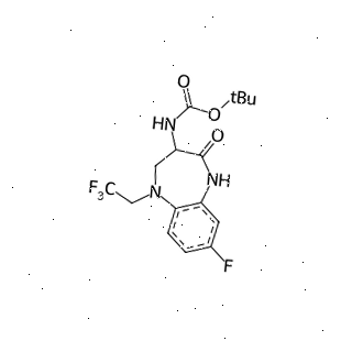 CC(C)(C)OC(=O)NC1CN(CC(F)(F)F)c2ccc(F)cc2NC1=O